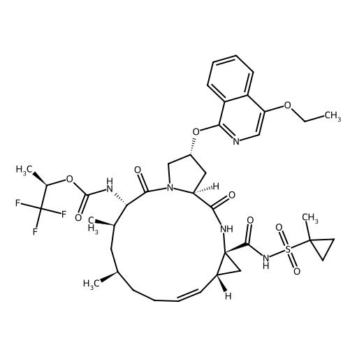 CCOc1cnc(O[C@@H]2C[C@H]3C(=O)N[C@]4(C(=O)NS(=O)(=O)C5(C)CC5)C[C@@H]4/C=C\CC[C@@H](C)C[C@@H](C)[C@H](NC(=O)O[C@H](C)C(F)(F)F)C(=O)N3C2)c2ccccc12